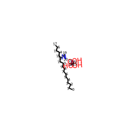 CCCCCCCCCCCCC(CCCCC)N(C)C.O=P(O)(O)O